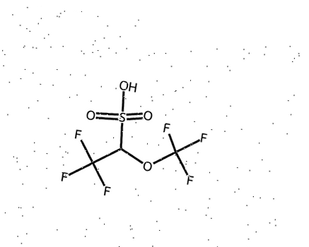 O=S(=O)(O)C(OC(F)(F)F)C(F)(F)F